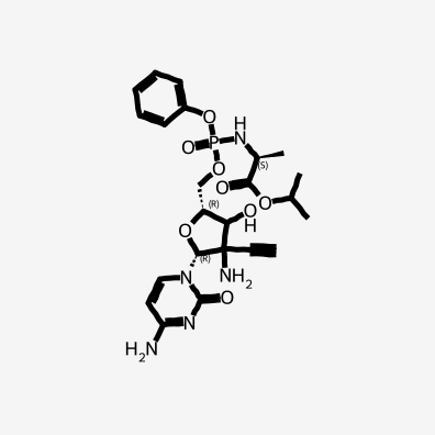 C#CC1(N)C(O)[C@@H](COP(=O)(N[C@@H](C)C(=O)OC(C)C)Oc2ccccc2)O[C@H]1n1ccc(N)nc1=O